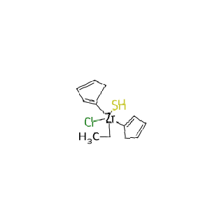 C[CH2][Zr]([SH])([Cl])([C]1=CC=CC1)[C]1=CC=CC1